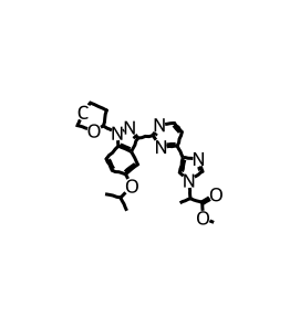 COC(=O)C(C)n1cnc(-c2ccnc(-c3nn(C4CCCCO4)c4ccc(OC(C)C)cc34)n2)c1